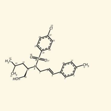 Cc1ccc(C=CCN([C@@H](CO)CC(C)C)S(=O)(=O)c2ccc(Cl)cc2)cc1